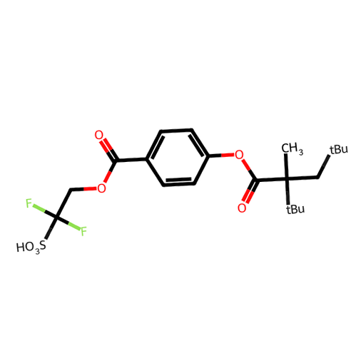 CC(C)(C)CC(C)(C(=O)Oc1ccc(C(=O)OCC(F)(F)S(=O)(=O)O)cc1)C(C)(C)C